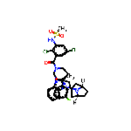 Cc1nc2ccccc2n1[C@H]1C[C@H]2CC[C@@H](C1)N2CCC1(c2cccc(F)c2)CCN(C(=O)c2cc(Cl)cc(NS(C)(=O)=O)c2Cl)CC1